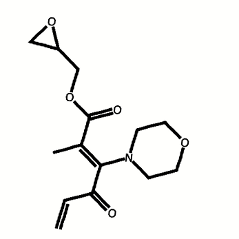 C=CC(=O)C(=C(C)C(=O)OCC1CO1)N1CCOCC1